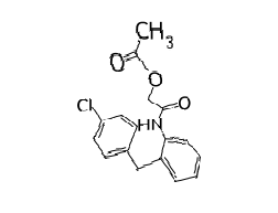 CC(=O)OCC(=O)Nc1ccccc1Cc1ccc(Cl)cc1